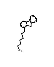 COCCOCCc1cccc2c1Cc1ccccc1-2